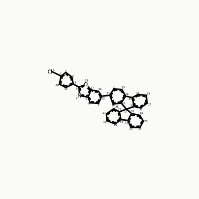 Clc1ccc(-c2nc3ccc(-c4ccc5c(c4)C4(c6ccccc6-c6ccccc64)c4ccccc4-5)cc3o2)cc1